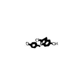 Oc1ccc2c([c]c(Cl)n2Cc2ccc(Cl)cc2)c1